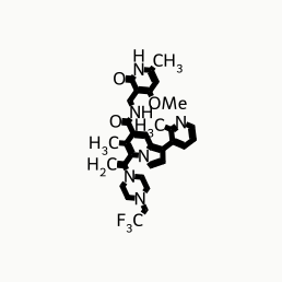 C=C(c1c(C)c(C(=O)NCc2c(OC)cc(C)[nH]c2=O)cc2c(-c3cccnc3C)ccn12)N1CCN(CC(F)(F)F)CC1